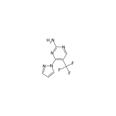 Nc1ncc(C(F)(F)F)c(-n2cccn2)n1